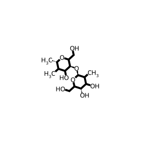 CC1C(O)[C@H](O)C(CO)O[C@H]1O[C@@H]1C(CO)O[C@@H](C)C(C)C1O